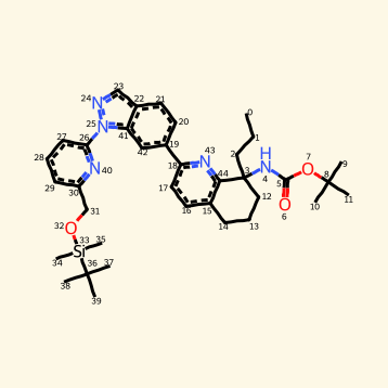 CCCC1(NC(=O)OC(C)(C)C)CCCc2ccc(-c3ccc4cnn(-c5cccc(CO[Si](C)(C)C(C)(C)C)n5)c4c3)nc21